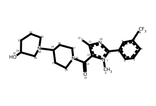 Cn1c(-c2cccc(C(F)(F)F)c2)nc(I)c1C(=O)N1CCC(N2CCCC(O)C2)CC1